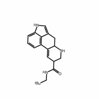 CC(C)(C)CNC(=O)C1C=C2c3cccc4[nH]cc(c34)CC2NC1